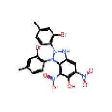 Cc1ccc(N2Nc3cc([N+](=O)[O-])c(O)c([N+](=O)[O-])c3N2c2ccc(C)cc2Br)c(Br)c1